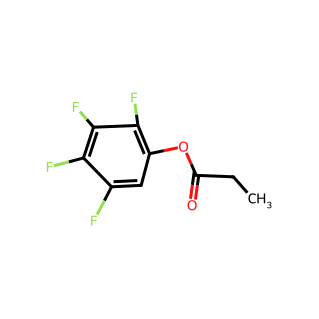 CCC(=O)Oc1cc(F)c(F)c(F)c1F